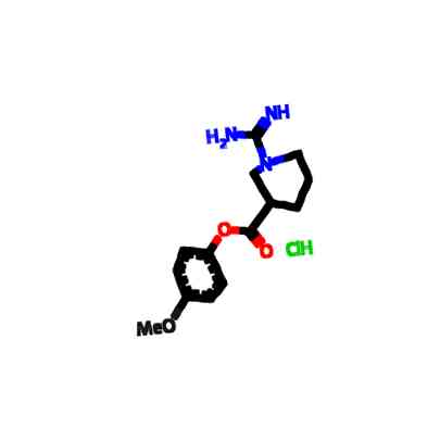 COc1ccc(OC(=O)C2CCCN(C(=N)N)C2)cc1.Cl